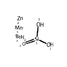 O=[Si](O)O.[BeH2].[Mn].[Zn]